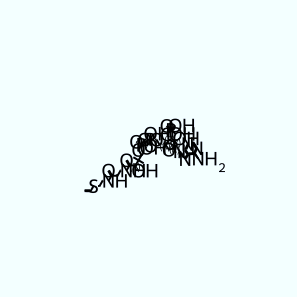 C=CSCCNC(=O)CCNC(=O)[C@H](O)C(C)(C)COP(=O)(O)OP(=O)(O)OC[C@H]1O[C@@H](n2cnc3c(N)ncnc32)[C@H](O)[C@@H]1OP(=O)(O)O